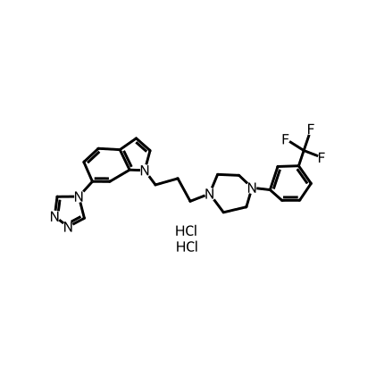 Cl.Cl.FC(F)(F)c1cccc(N2CCN(CCCn3ccc4ccc(-n5cnnc5)cc43)CC2)c1